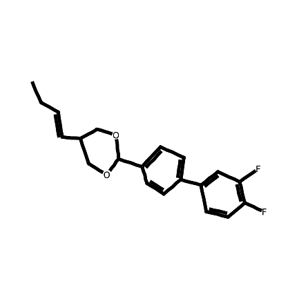 CCC=CC1COC(c2ccc(-c3ccc(F)c(F)c3)cc2)OC1